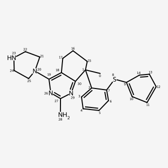 CC1(c2ccccc2Sc2ccccc2)CCCc2c(N3CCNCC3)nc(N)nc21